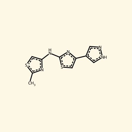 Cc1nc(Nc2nc(-c3cn[nH]c3)cs2)cs1